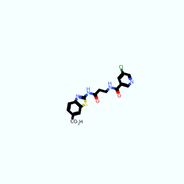 O=C(CCNC(=O)c1cncc(Cl)c1)Nc1nc2ccc(C(=O)O)cc2s1